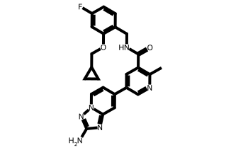 Cc1ncc(-c2ccn3nc(N)nc3c2)cc1C(=O)NCc1ccc(F)cc1OCC1CC1